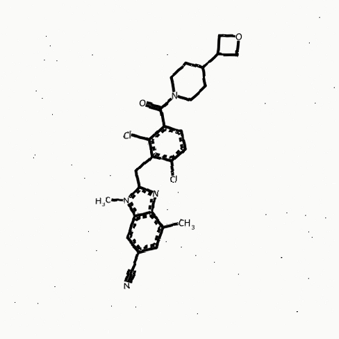 Cc1cc(C#N)cc2c1nc(Cc1c(Cl)ccc(C(=O)N3CCC(C4COC4)CC3)c1Cl)n2C